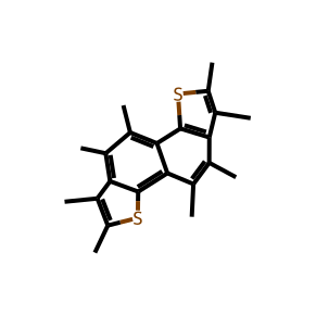 Cc1sc2c(c1C)c(C)c(C)c1c3sc(C)c(C)c3c(C)c(C)c21